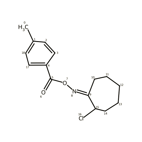 Cc1ccc(C(=O)ON=C2CCCCCC2Cl)cc1